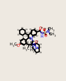 COc1ccc2c(c1)[C@H](C)[C@@](C)(C(=O)N1C3CCC1CN(C)CC3)Cn1c-2c(C2CCCCC2)c2ccc(C(=O)NS(=O)(=O)N(C)C)cc21